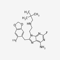 CC(C)(C)CNCCn1c(Cc2cc3c(cc2[131I])OCO3)nc2c(N)nc(F)nc21